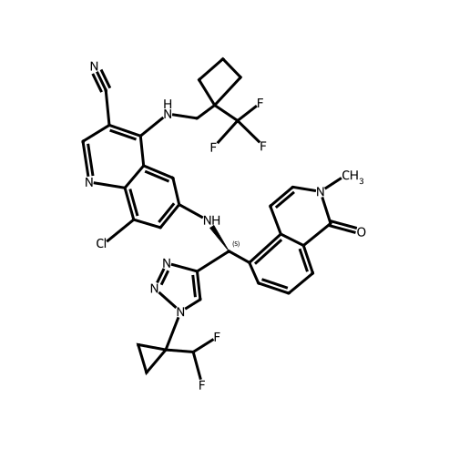 Cn1ccc2c([C@H](Nc3cc(Cl)c4ncc(C#N)c(NCC5(C(F)(F)F)CCC5)c4c3)c3cn(C4(C(F)F)CC4)nn3)cccc2c1=O